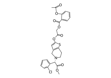 COC(=O)[C@H](c1ccccc1Cl)N1CCc2sc(OC(=O)COC(=O)c3ccccc3OC(C)=O)cc2C1